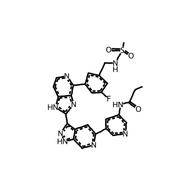 CCC(=O)Nc1cncc(-c2cc3c(-c4nc5c(-c6cc(F)cc(CNS(C)(=O)=O)c6)nccc5[nH]4)n[nH]c3cn2)c1